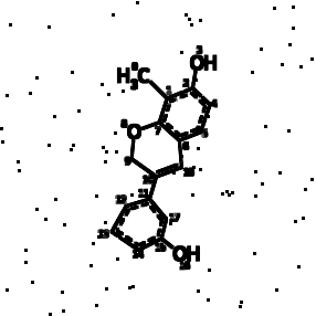 Cc1c(O)ccc2c1OCC(c1cccc(O)c1)=C2